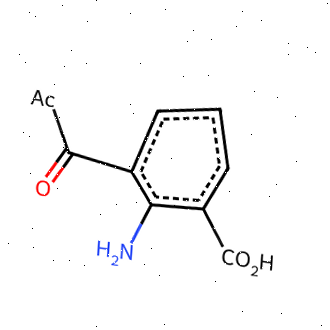 CC(=O)C(=O)c1cccc(C(=O)O)c1N